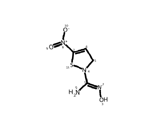 NC(=NO)N1CC=C([N+](=O)[O-])S1